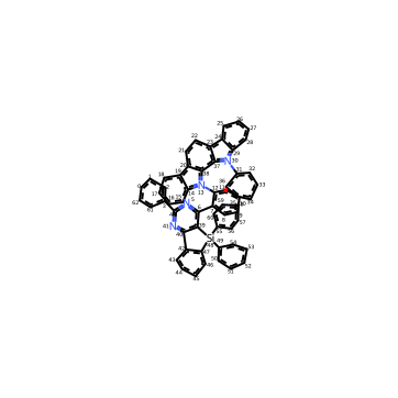 c1ccc(-c2nc(-c3ccccc3-n3c4ccccc4c4ccc5c6ccccc6n(-c6ccccc6)c5c43)c3c(n2)-c2ccccc2[Si]3(c2ccccc2)c2ccccc2)cc1